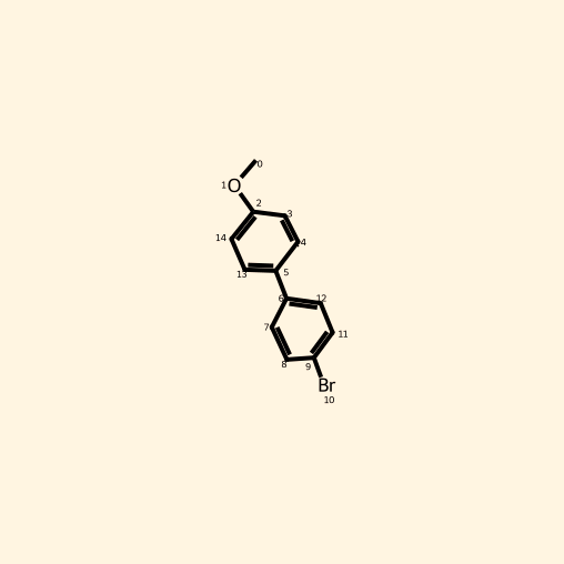 COc1c[c]c(-c2ccc(Br)cc2)cc1